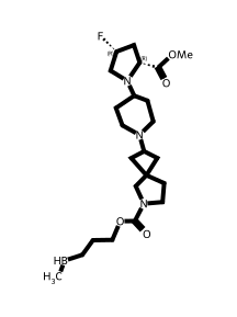 CBCCCOC(=O)N1CCC2(CC(N3CCC(N4C[C@H](F)C[C@@H]4C(=O)OC)CC3)C2)C1